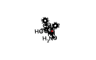 NC(=O)c1ncn([C@@H]2O[C@H](CO)[C@@H](OC(=O)c3ccccc3)[C@H]2OC(=O)c2ccccc2)n1